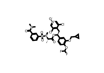 C[C@@H](C(=O)O[C@@H](Cc1c(Cl)c[n+]([O-])cc1Cl)c1ccc(OC(F)F)c(OCC2CC2)c1)N(C)S(=O)(=O)c1cccc(C(=O)N(C)C)c1